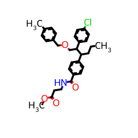 CCCC(c1ccc(C(=O)NCCC(=O)OC)cc1)C(COCc1ccc(C)cc1)c1ccc(Cl)cc1